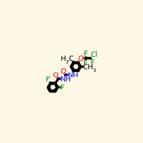 Cc1cc(NC(=O)NC(=O)c2c(F)cccc2F)cc(C)c1OC(F)(F)C(F)Cl